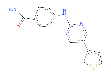 NC(=O)c1ccc(Nc2ncc(-c3ccsc3)cn2)cc1